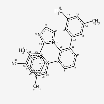 Cc1cc(C)cc(-c2cccc(-c3cc(C)cc(C)c3)c2-n2ccnc2-c2cccc(C#N)c2)c1